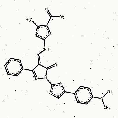 Cc1nc(N/N=C2\C(=O)N(c3nc(-c4ccc(N(C)C)cc4)cs3)N=C2c2ccccc2)sc1C(=O)O